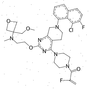 C=C(F)C(=O)N1CCN(c2nc(OCCN(C)C3(COC)COC3)nc3c2CCN(c2cccc4ccc(F)c(Cl)c24)C3)CC1